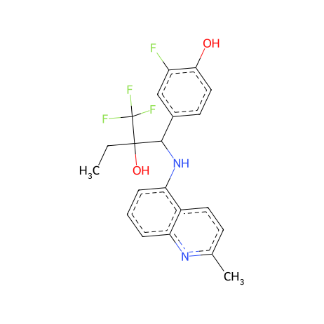 CCC(O)(C(Nc1cccc2nc(C)ccc12)c1ccc(O)c(F)c1)C(F)(F)F